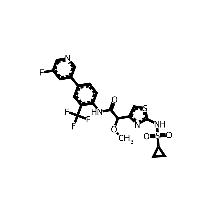 COC(C(=O)Nc1ccc(-c2cncc(F)c2)cc1C(F)(F)F)c1csc(NS(=O)(=O)C2CC2)n1